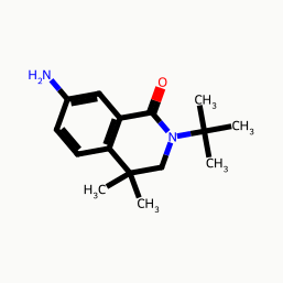 CC1(C)CN(C(C)(C)C)C(=O)c2cc(N)ccc21